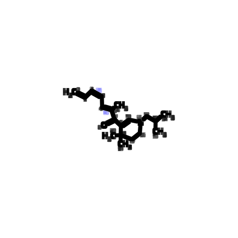 C=C/C=C\C=C(/C)C(=O)C1=CN(CC(C)C)CCC1(C)C